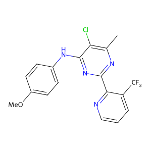 COc1ccc(Nc2nc(-c3ncccc3C(F)(F)F)nc(C)c2Cl)cc1